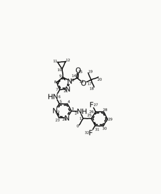 CC(Nc1cc(Nc2cc(C3CC3)n(C(=O)OC(C)(C)C)n2)ncn1)c1c(F)cccc1F